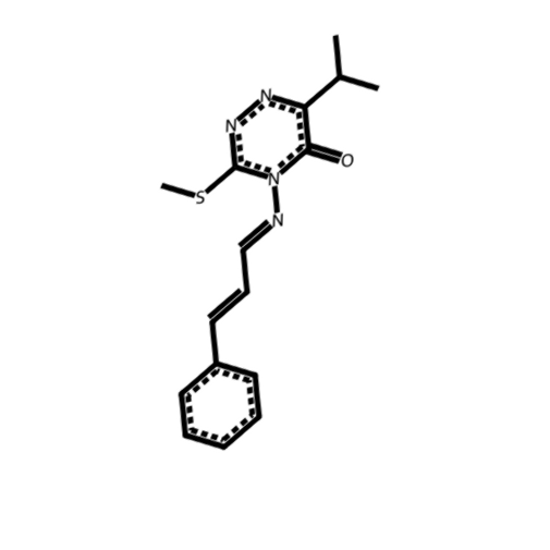 CSc1nnc(C(C)C)c(=O)n1/N=C/C=C/c1ccccc1